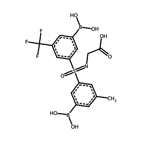 Cc1cc(B(O)O)cc(S(=O)(=NCC(=O)O)c2cc(B(O)O)cc(C(F)(F)F)c2)c1